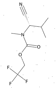 CC(C)[C@@H](C#N)N(C)C(=O)OCC(F)(F)F